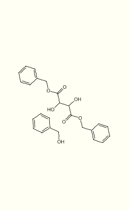 O=C(OCc1ccccc1)C(O)C(O)C(=O)OCc1ccccc1.OCc1ccccc1